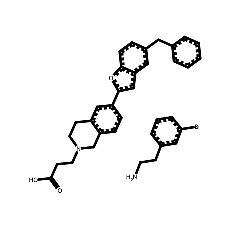 NCCc1cccc(Br)c1.O=C(O)CCN1CCc2cc(-c3cc4cc(Cc5ccccc5)ccc4o3)ccc2C1